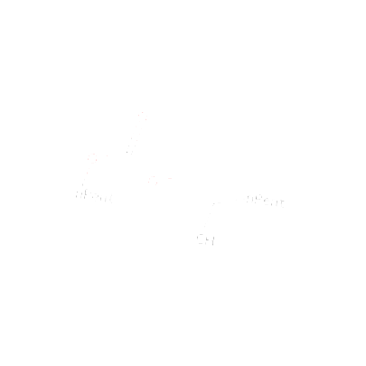 CCCCCOC(=O)OCC(C)CCCCC